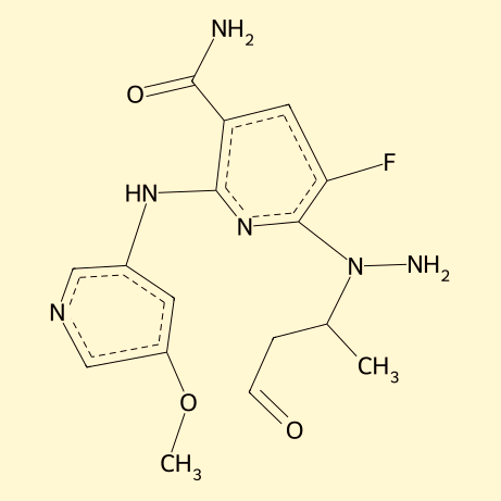 COc1cncc(Nc2nc(N(N)C(C)CC=O)c(F)cc2C(N)=O)c1